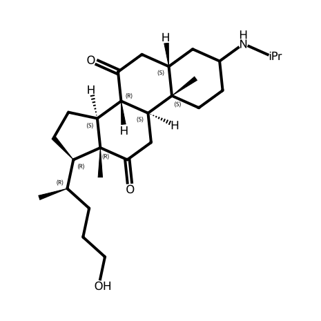 CC(C)NC1CC[C@@]2(C)[C@H](CC(=O)[C@@H]3[C@@H]2CC(=O)[C@]2(C)[C@@H]([C@H](C)CCCO)CC[C@@H]32)C1